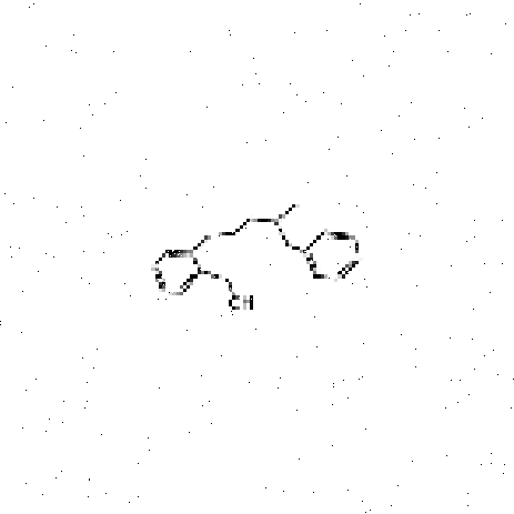 CC(CCCc1ccccc1CO)Cc1ccccc1